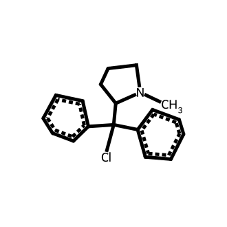 CN1CCCC1C(Cl)(c1ccccc1)c1ccccc1